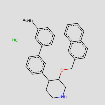 CC(=O)Nc1cccc(-c2cccc(C3CCNCC3OCc3ccc4ccccc4c3)c2)c1.Cl